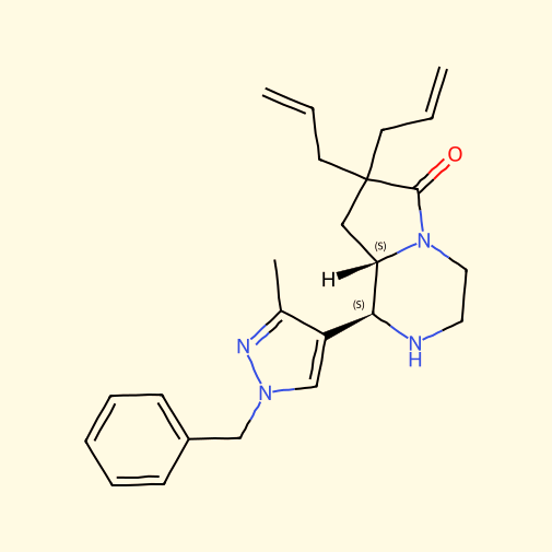 C=CCC1(CC=C)C[C@H]2[C@H](c3cn(Cc4ccccc4)nc3C)NCCN2C1=O